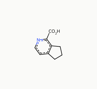 O=C(O)c1nccc2c1CCC2